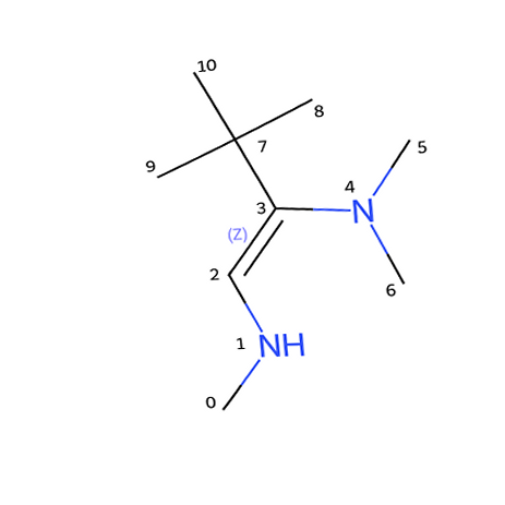 CN/C=C(\N(C)C)C(C)(C)C